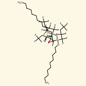 CCCCCCCCCC[O][Sn]([O][Sn]([O]CCCCCCCCCC)([C](F)(F)C(F)(F)CC(F)(F)F)[C](F)(F)C(F)(F)CC(F)(F)F)([C](F)(F)C(F)(F)CC(F)(F)F)[C](F)(F)C(F)(F)CC(F)(F)F